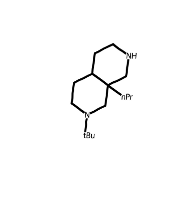 CCCC12CNCCC1CCN(C(C)(C)C)C2